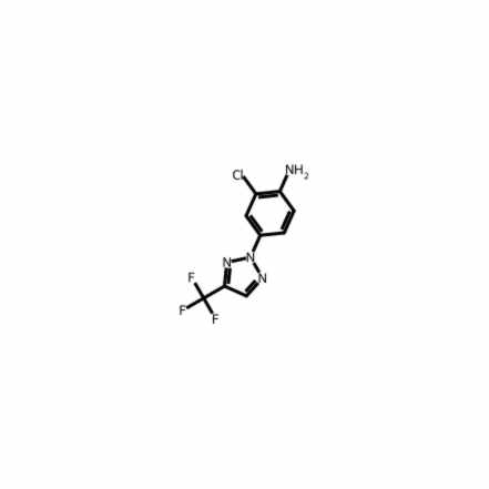 Nc1ccc(-n2ncc(C(F)(F)F)n2)cc1Cl